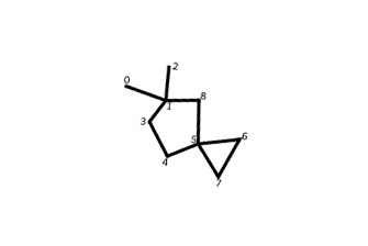 CC1(C)CCC2(CC2)C1